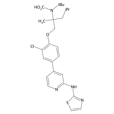 CC(C)CC(C)(COc1ccc(-c2ccnc(Nc3nccs3)c2)cc1Cl)N(C(=O)O)C(C)(C)C